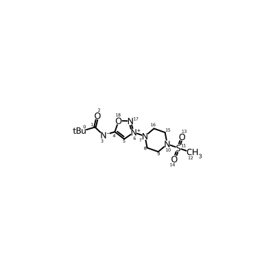 CC(C)(C)C(=O)[N-]c1c[n+](N2CCN(S(C)(=O)=O)CC2)no1